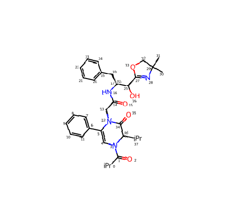 CC(C)C(=O)N1C=C(c2ccccc2)N(CC(=O)N[C@@H](Cc2ccccc2)C(O)C2=NC(C)(C)CO2)C(=O)C1C(C)C